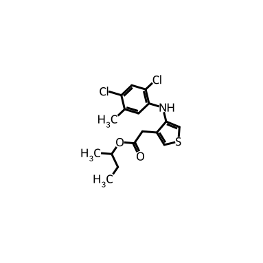 CCC(C)OC(=O)Cc1cscc1Nc1cc(C)c(Cl)cc1Cl